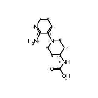 Nc1ncccc1N1CCC(NC(=O)O)CC1